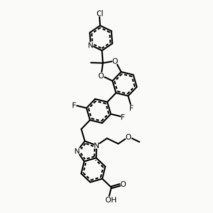 COCCn1c(Cc2cc(F)c(-c3c(F)ccc4c3OC(C)(c3ccc(Cl)cn3)O4)cc2F)nc2ccc(C(=O)O)cc21